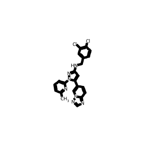 Cc1cccc(-n2nc(NCc3ccc(Cl)c(Cl)c3)cc2-c2ccc3ncnn3c2)n1